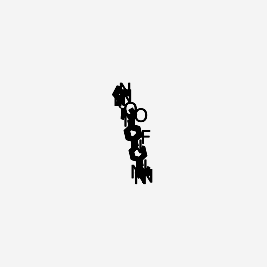 O=C1O[C@@H](Cn2ccnn2)CN1c1ccc(N2CCC(n3cnnn3)CC2)c(F)c1